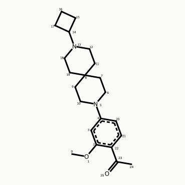 COc1cc(N2CCC3(CC2)CCN(C2CCC2)CC3)ccc1C(C)=O